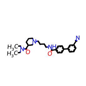 CCN(CC)C(=O)C1CCCN(CCCCNC(=O)c2ccc(-c3cccc(C#N)c3)cc2)C1